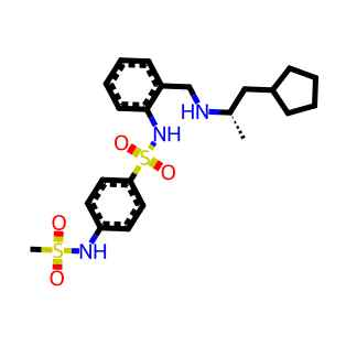 C[C@@H](CC1CCCC1)NCc1ccccc1NS(=O)(=O)c1ccc(NS(C)(=O)=O)cc1